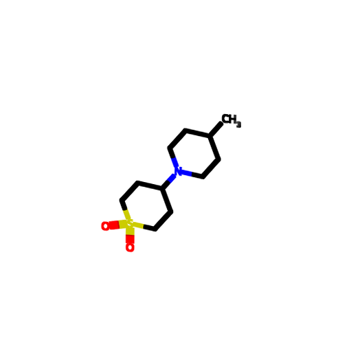 CC1CCN(C2CCS(=O)(=O)CC2)CC1